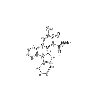 CNC(=O)c1nn(-c2ccccc2N2CCC3=C2CCC=C3)cc(O)c1=O